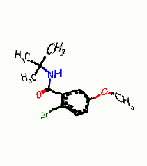 COc1ccc(Br)c(C(=O)NC(C)(C)C)c1